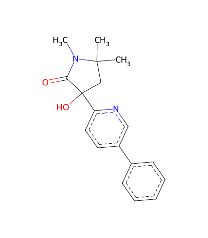 CN1C(=O)C(O)(c2ccc(-c3ccccc3)cn2)CC1(C)C